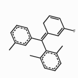 Cc1cccc(/C(=C2/C=C(F)C=CC2)c2c(C)cccc2C)c1